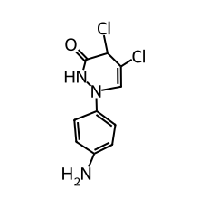 Nc1ccc(N2C=C(Cl)C(Cl)C(=O)N2)cc1